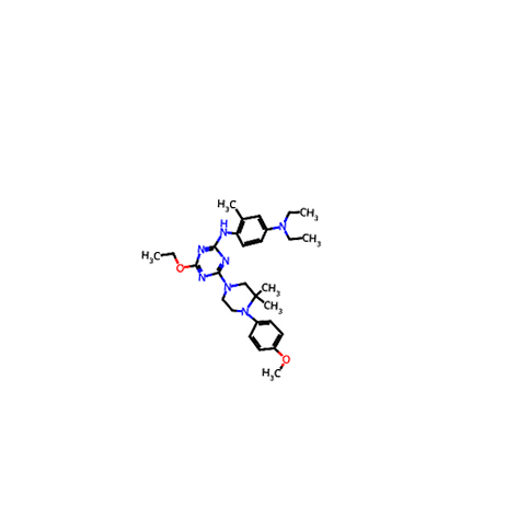 CCOc1nc(Nc2ccc(N(CC)CC)cc2C)nc(N2CCN(c3ccc(OC)cc3)C(C)(C)C2)n1